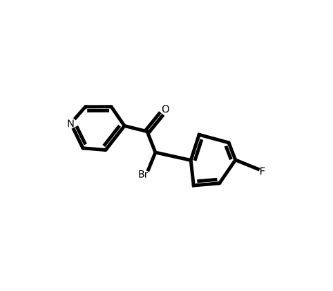 O=C(c1ccncc1)C(Br)c1ccc(F)cc1